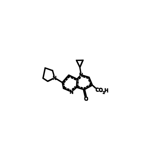 O=C(O)c1cn(C2CC2)c2cc(N3CCCC3)cnc2c1=O